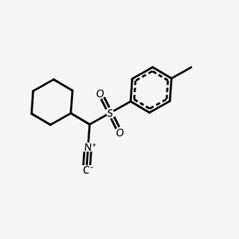 [C-]#[N+]C(C1CCCCC1)S(=O)(=O)c1ccc(C)cc1